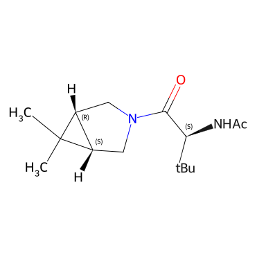 CC(=O)N[C@H](C(=O)N1C[C@@H]2[C@H](C1)C2(C)C)C(C)(C)C